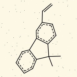 C=Cc1ccc2c(c1)-c1ccccc1C2(C)C